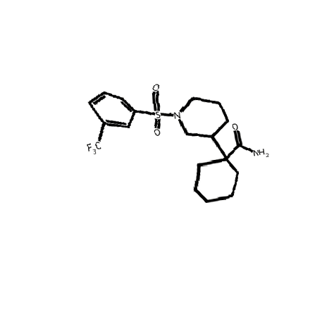 NC(=O)C1(C2CCCN(S(=O)(=O)c3cccc(C(F)(F)F)c3)C2)CCCCC1